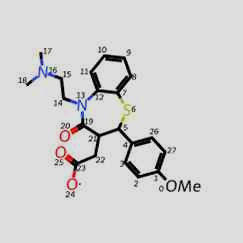 COc1ccc(C2Sc3ccccc3N(CCN(C)C)C(=O)C2CC([O])=O)cc1